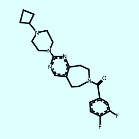 O=C(c1ccc(F)c(F)c1)N1CCc2cnc(N3CCN(C4CCC4)CC3)nc2CC1